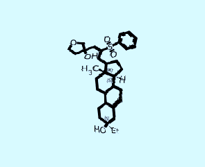 CC[C@]1(O)CCC2C(=CCC3C2CC[C@]2(C)C(CC(CC4(O)CCOC4)S(=O)(=O)c4ccccc4)CC[C@@H]32)C1